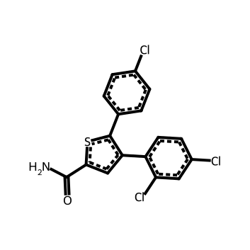 NC(=O)c1cc(-c2ccc(Cl)cc2Cl)c(-c2ccc(Cl)cc2)s1